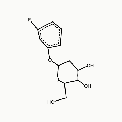 OCC1OC(Oc2cccc(F)c2)CC(O)C1O